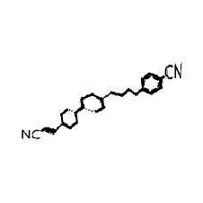 N#CC=C[C@H]1CC[C@H]([C@H]2CC[C@H](CCCCc3ccc(C#N)cc3)CC2)CC1